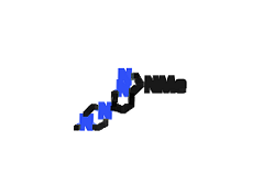 CNc1cnn2cc(N3CCN(C)CC3)ccc12